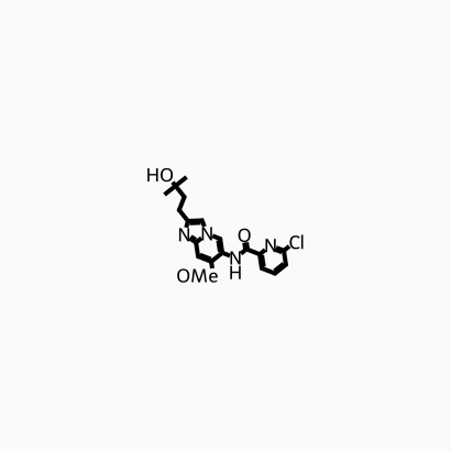 COc1cc2nc(CCC(C)(C)O)cn2cc1NC(=O)c1cccc(Cl)n1